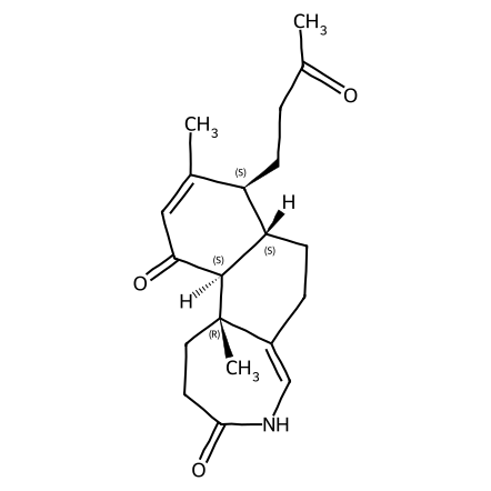 CC(=O)CC[C@@H]1C(C)=CC(=O)[C@H]2[C@H]1CCC1=CNC(=O)CC[C@@]12C